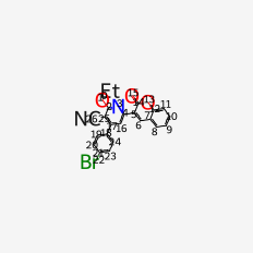 CCOc1nc(-c2cc3ccccc3oc2=O)cc(-c2ccc(Br)cc2)c1C#N